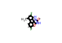 Cc1cc(F)cc2c1-c1ccc(F)cc1C21NC(=O)NC1=O